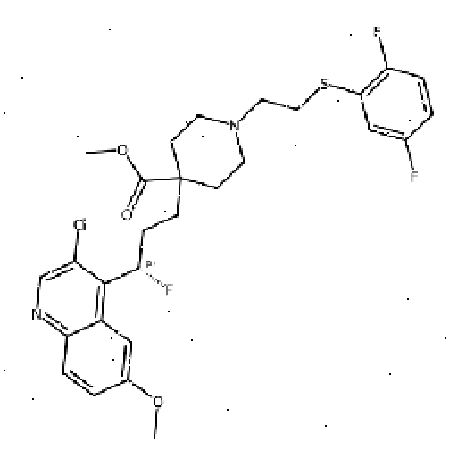 COC(=O)C1(CC[C@H](F)c2c(Cl)cnc3ccc(OC)cc23)CCN(CCSc2cc(F)ccc2F)CC1